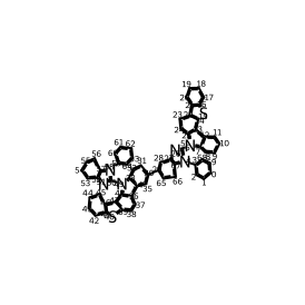 c1ccc(-n2c(-n3c4ccccc4c4c5sc6ccccc6c5ccc43)nc3cc(-c4ccc5c(c4)c4ccc6sc7ccccc7c6c4n5-c4nc5ccccc5n4-c4ccccc4)ccc32)cc1